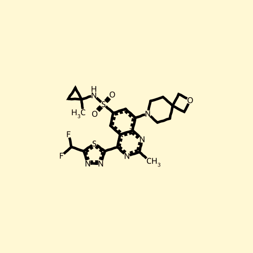 Cc1nc(-c2nnc(C(F)F)s2)c2cc(S(=O)(=O)NC3(C)CC3)cc(N3CCC4(CC3)COC4)c2n1